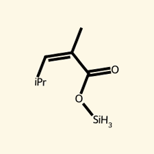 CC(=CC(C)C)C(=O)O[SiH3]